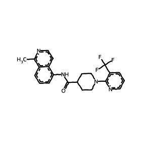 Cc1nccc2c(NC(=O)C3CCN(c4ncccc4C(F)(F)F)CC3)cccc12